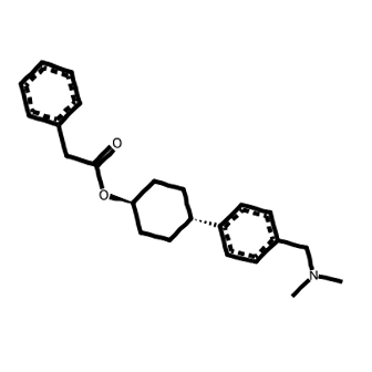 CN(C)Cc1ccc([C@H]2CC[C@H](OC(=O)Cc3ccccc3)CC2)cc1